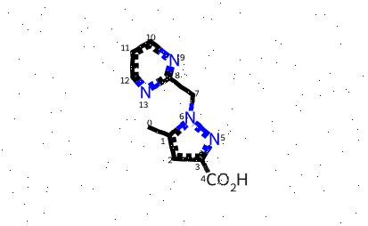 Cc1cc(C(=O)O)nn1Cc1ncccn1